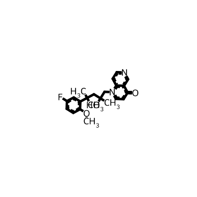 COc1ccc(F)cc1C(C)(C)CC(C)(O)Cn1ccc(=O)c2cnccc21